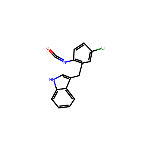 O=C=Nc1ccc(Cl)cc1Cc1c[nH]c2ccccc12